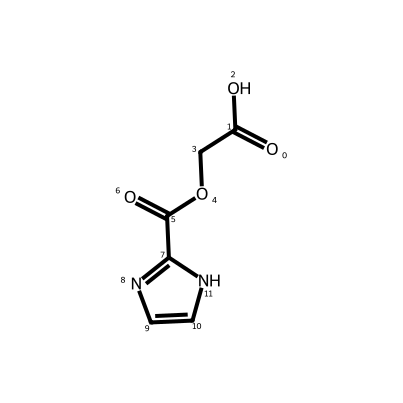 O=C(O)COC(=O)c1ncc[nH]1